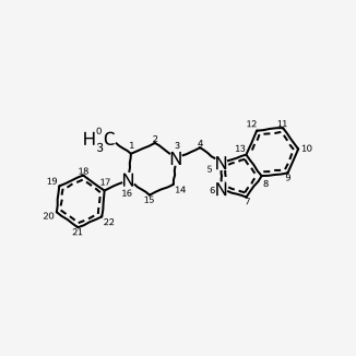 CC1CN(Cn2ncc3ccccc32)CCN1c1ccccc1